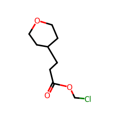 O=C(CCC1CCOCC1)OCCl